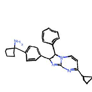 NC1(c2ccc(C3N=C4N=C(C5CC5)C=CN4C3c3ccccc3)cc2)CCC1